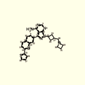 Nc1ncnc2c1c(-c1ccc3ccc(-c4cccs4)nc3c1)nn2C1CC(CN2CCC2)C1